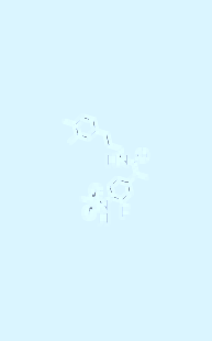 Cc1ccc(C=CCNC(=O)C(C)c2ccc(NS(C)(=O)=O)c(F)c2)cc1C